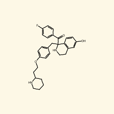 O=C(c1ccc(F)cc1)C1(Cc2ccc(OCCC3CCCCN3)cc2)NCCc2cc(O)ccc21